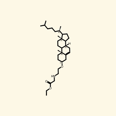 CCOC(=O)CNCCO[C@H]1CC[C@@]2(C)C(=CC[C@H]3C4CCC([C@H](C)CCCC(C)C)[C@@]4(C)CCC32)C1